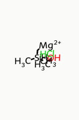 CO.C[SiH](C)[CH2][Mg+2].Cl